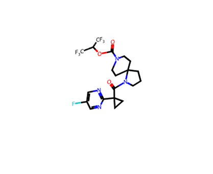 O=C(OC(C(F)(F)F)C(F)(F)F)N1CCC2(CCCN2C(=O)C2(c3ncc(F)cn3)CC2)CC1